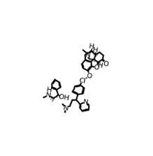 CN(C)CCC(c1ccc(Cl)cc1)c1ccccn1.CN[C@@H](C)[C@@H](O)c1ccccc1.COc1ccc2c3c1O[C@H]1C(=O)CC[C@H]4[C@@H](C2)N(C)CC[C@]314